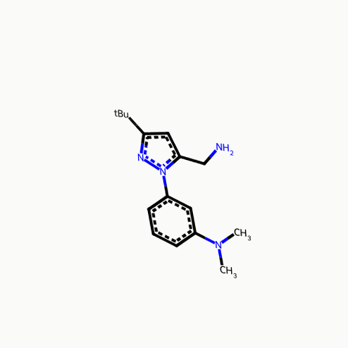 CN(C)c1cccc(-n2nc(C(C)(C)C)cc2CN)c1